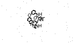 CCn1nc(C)cc1C(=O)Nc1cccc(Oc2ccc3cnn(C=Cc4ncc[nH]4)c3c2)c1